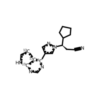 N#CC[C@H](C1CCCC1)n1cc(-[13c]2ncn[13c]3[nH]c[13cH][13c]23)cn1